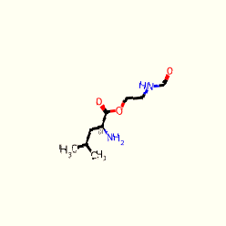 CC(C)C[C@H](N)C(=O)OCCNC=O